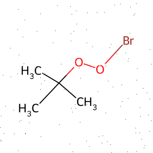 CC(C)(C)OOBr